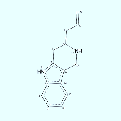 C=CCC1Cc2[nH]c3ccccc3c2CN1